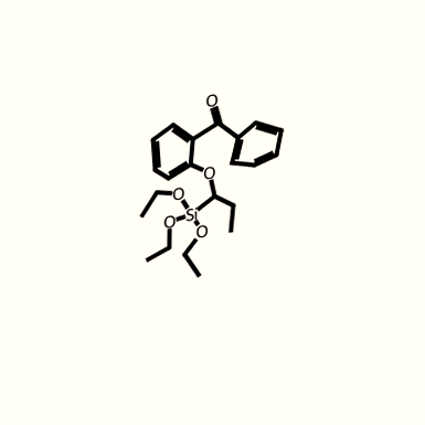 CCO[Si](OCC)(OCC)C(CC)Oc1ccccc1C(=O)c1ccccc1